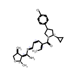 C=C1CO[C@H](C)/C1=C(N)/N=C/C=C\C(=C/C)C(=O)N1CC(c2ccc(Cl)cc2)C[C@H]1C1CC1